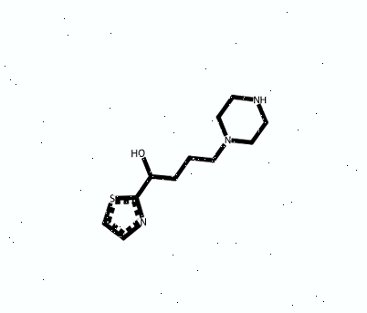 OC(CCCN1CCNCC1)c1nccs1